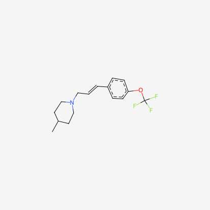 CC1CCN(C/C=C/c2ccc(OC(F)(F)F)cc2)CC1